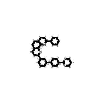 c1ccc(-c2ccc3ccc4ccc(-c5cccc(-c6ccc(-c7ncccn7)cc6)c5)nc4c3n2)cc1